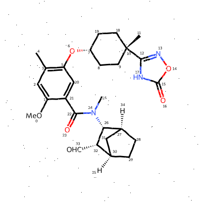 COc1cc(C)c(O[C@H]2CC[C@@](C)(c3noc(=O)[nH]3)CC2)cc1C(=O)N(C)[C@@H]1[C@H]2CC[C@H](C2)[C@@H]1C=O